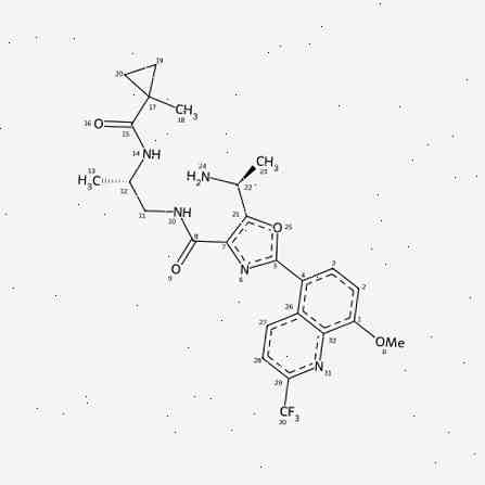 COc1ccc(-c2nc(C(=O)NC[C@H](C)NC(=O)C3(C)CC3)c([C@H](C)N)o2)c2ccc(C(F)(F)F)nc12